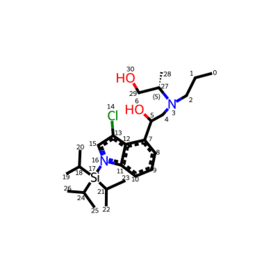 CCCN(CC(O)c1cccc2c1c(Cl)cn2[Si](C(C)C)(C(C)C)C(C)C)[C@@H](C)CO